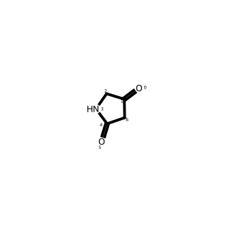 O=C1CNC(=O)C1